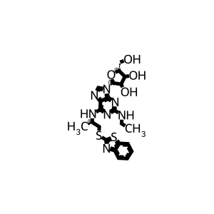 CCNc1nc(N[C@H](C)CSc2nc3ccccc3s2)c2ncn([C@@H]3O[C@H](CO)C(O)C3O)c2n1